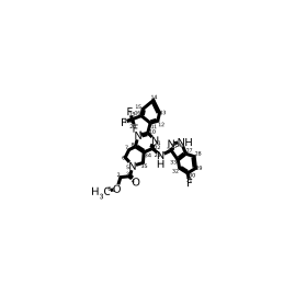 COCC(=O)N1CCc2nc(-c3ccccc3C(F)(F)F)nc(Nc3n[nH]c4ccc(F)cc34)c2C1